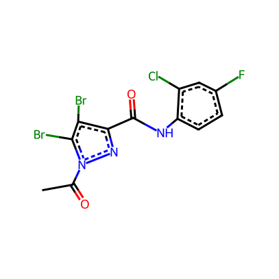 CC(=O)n1nc(C(=O)Nc2ccc(F)cc2Cl)c(Br)c1Br